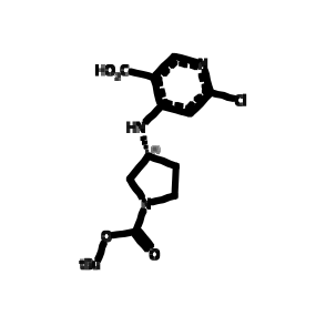 CC(C)(C)OC(=O)N1CC[C@@H](Nc2cc(Cl)ncc2C(=O)O)C1